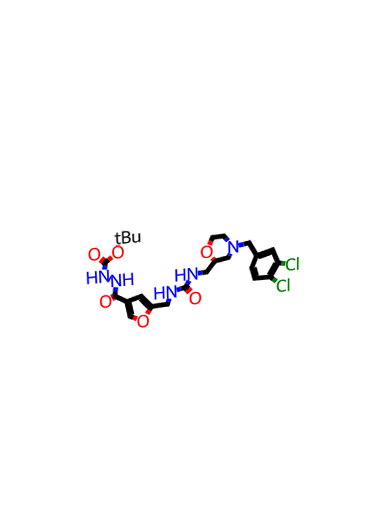 CC(C)(C)OC(=O)NNC(=O)c1coc(CNC(=O)NCC2CN(Cc3ccc(Cl)c(Cl)c3)CCO2)c1